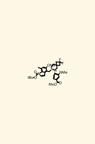 CNc1cc(C(=O)OC)ccc1[C@H]1CC2(CCN1Cc1c(OC)cc(C)c3c1ccn3C(=O)OC(C)(C)C)CC(F)(F)C2